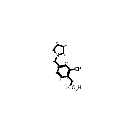 O=C(O)Cc1ccc(CN2CCCC2)cc1Cl